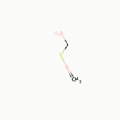 BCSB=C